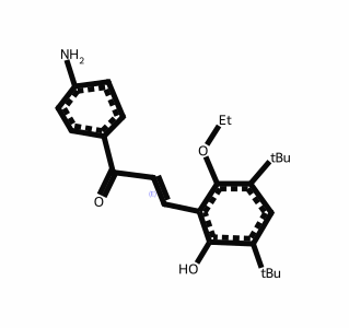 CCOc1c(C(C)(C)C)cc(C(C)(C)C)c(O)c1/C=C/C(=O)c1ccc(N)cc1